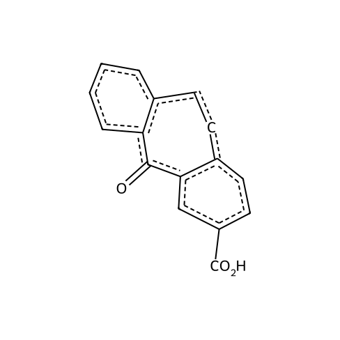 O=C(O)c1ccc2ccc3ccccc3c(=O)c2c1